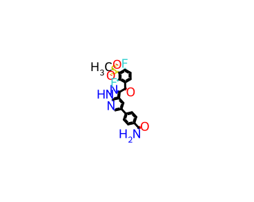 CS(=O)(=O)c1c(F)ccc(C(=O)c2n[nH]c3ncc(-c4ccc(C(N)=O)cc4)cc23)c1F